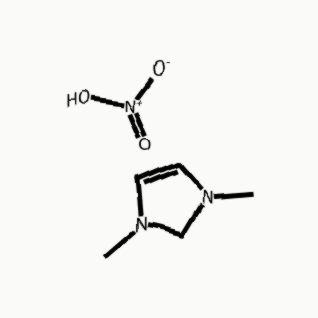 CN1C=CN(C)C1.O=[N+]([O-])O